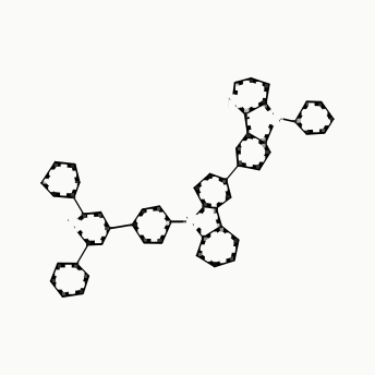 c1ccc(-c2cc(-c3ccc(-n4c5ccccc5c5cc(-c6ccc7c(c6)c6ncccc6n7-c6ccccc6)ccc54)cc3)cc(-c3ccccc3)n2)cc1